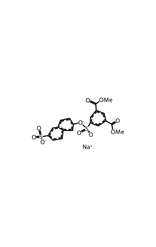 COC(=O)c1cc(C(=O)OC)cc(S(=O)(=O)Oc2ccc3cc(S(=O)(=O)[O-])ccc3c2)c1.[Na+]